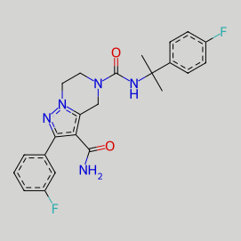 CC(C)(NC(=O)N1CCn2nc(-c3cccc(F)c3)c(C(N)=O)c2C1)c1ccc(F)cc1